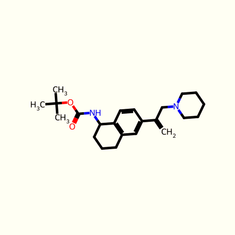 C=C(CN1CCCCC1)c1ccc2c(c1)CCCC2NC(=O)OC(C)(C)C